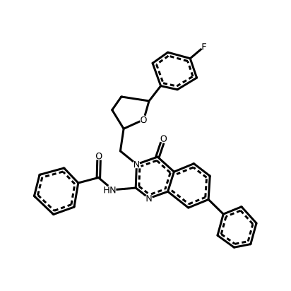 O=C(Nc1nc2cc(-c3ccccc3)ccc2c(=O)n1CC1CCC(c2ccc(F)cc2)O1)c1ccccc1